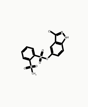 CS(=O)(=O)c1ccccc1S(=O)(=O)Oc1ccc2[nH]nc(Cl)c2c1